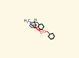 CN1CCC23CC(=O)CC[C@H]2[C@H]1Cc1ccc(OCc2ccccc2)cc13